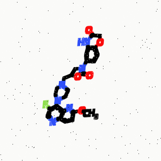 COc1ccc2ncc(F)c(N3CCN(CC4CN(c5ccc6c(c5)NC(=O)CO6)C(=O)O4)CC3)c2n1